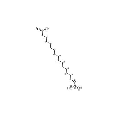 O=C(Cl)CCCCCCCCCCCCCCCON(O)O